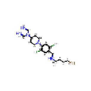 C[C@@H](CCCS)NCc1cc(F)c(N2CCC(N(C=N)C=N)CC2)cc1F